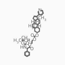 CC(C)(C)OC(=O)N[C@H](C(=O)OCCOC(=O)O[C@H]1CC[C@@]2(C)C(=CC[C@@H]3[C@@H]2CC[C@]2(C)C(c4cccnc4)=CC[C@@H]32)C1)c1ccccc1